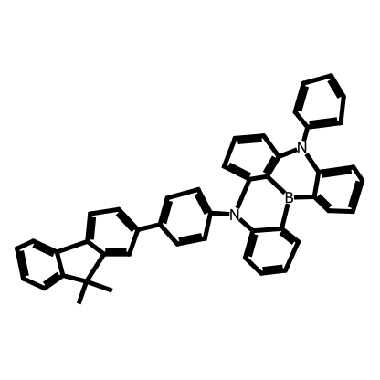 CC1(C)c2ccccc2-c2ccc(-c3ccc(N4c5ccccc5B5c6ccccc6N(c6ccccc6)c6cccc4c65)cc3)cc21